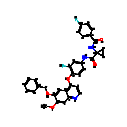 COc1cc2nccc(Oc3ccc(NC(=O)C4(NC(=O)c5ccc(F)cc5)CC4)cc3F)c2cc1OCc1ccccc1